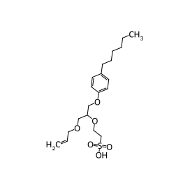 C=CCOCC(COc1ccc(CCCCCC)cc1)OCCS(=O)(=O)O